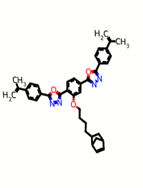 C=C(C)c1ccc(-c2nnc(-c3ccc(-c4nnc(-c5ccc(C(=C)C)cc5)o4)c(OCCCCC4CC5C=CC4C5)c3)o2)cc1